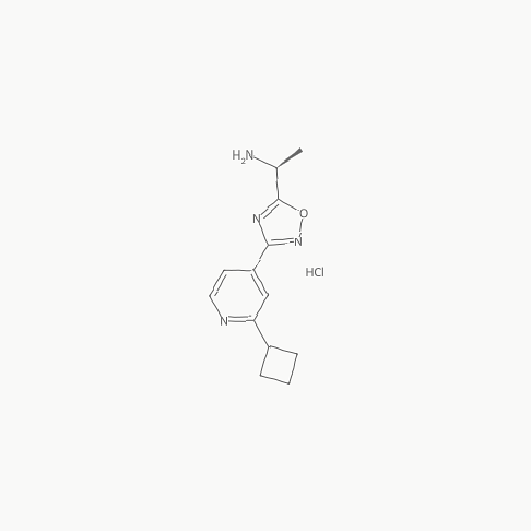 C[C@H](N)c1nc(-c2ccnc(C3CCC3)c2)no1.Cl